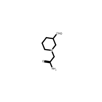 NC(=O)CN1CCCC(C=O)C1